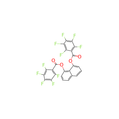 O=C(Oc1cccc2cccc(OC(=O)c3c(F)c(F)c(F)c(F)c3F)c12)c1c(F)c(F)c(F)c(F)c1F